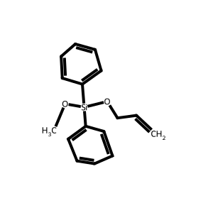 C=CCO[Si](OC)(c1ccccc1)c1ccccc1